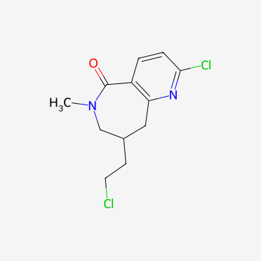 CN1CC(CCCl)Cc2nc(Cl)ccc2C1=O